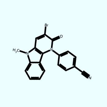 Cn1c2ccccc2c2c1cc(Br)c(=O)n2-c1ccc(C#N)cc1